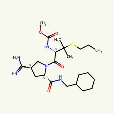 CCCSC(C)(C)[C@@H](NC(=O)OC)C(=O)N1C[C@H](C(=N)N)C[C@H]1C(=O)NCC1CCCCC1